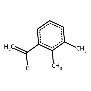 C=C(Cl)c1cccc(C)c1C